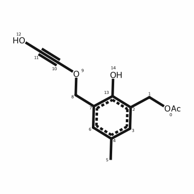 CC(=O)OCc1cc(C)cc(COC#CO)c1O